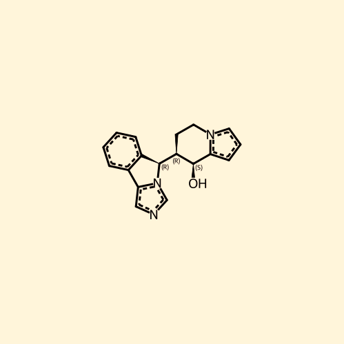 O[C@@H]1c2cccn2CC[C@@H]1[C@@H]1c2ccccc2-c2cncn21